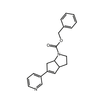 O=C(OCc1ccccc1)N1CCC2C=C(c3cccnc3)CC21